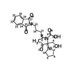 CC(=O)C(CO)(N1CCCC1)N(SCCCN1C(=O)c2ccccc2C1=O)C(=O)O